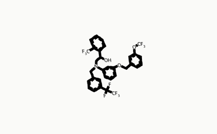 OC(CN(Cc1cccc(C(F)(F)C(F)(F)F)c1)c1cccc(OCc2cccc(OC(F)(F)F)c2)c1)c1ccccc1C(F)(F)F